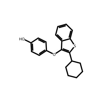 Oc1ccc(Oc2c(C3CCCCC3)sc3ccccc23)cc1